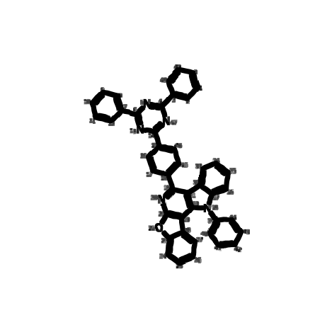 c1ccc(-c2nc(-c3ccccc3)nc(-c3ccc(-c4nc5oc6ccccc6c5c5c4c4ccccc4n5-c4ccccc4)cc3)n2)cc1